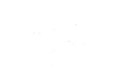 NCCN(CCN)CC(Cc1ccc(N=O)cc1)CN(CCN)CCN